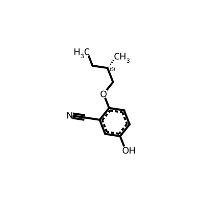 CC[C@H](C)COc1ccc(O)cc1C#N